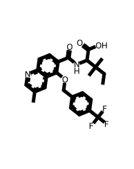 CCC(C)(C)C(NC(=O)c1ccc2ncc(C)cc2c1OCc1ccc(C(F)(F)F)cc1)C(=O)O